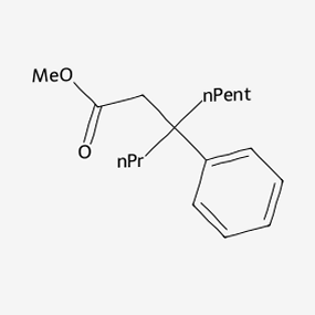 CCCCCC(CCC)(CC(=O)OC)c1ccccc1